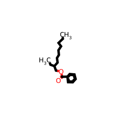 CCCCCCCCC(CC)COC(=O)c1ccccc1